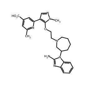 Cc1cc(C(=O)O)cc(-c2cnn(C)c2OCCN2CCCCC(n3c(N)nc4ccccc43)C2)n1